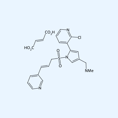 CNCc1cc(-c2cccnc2Cl)n(S(=O)(=O)CC=Cc2cccnc2)c1.O=C(O)/C=C/C(=O)O